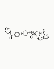 Cn1cccc1C(=O)N1CCN(C(=O)NC2CCN(c3ccc(C(=O)N4CCOCC4)cc3)CC2)CC1